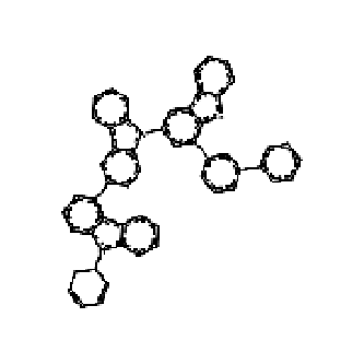 C1=CCC(n2c3ccccc3c3c(-c4ccc5c(c4)c4ccccc4n5-c4cc(-c5cccc(-c6ccccc6)c5)c5sc6ccccc6c5c4)cccc32)C=C1